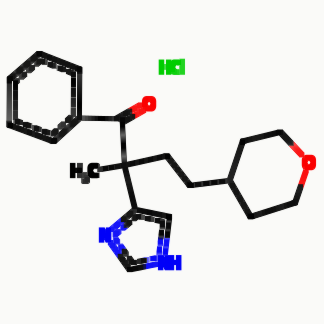 CC(CCC1CCOCC1)(C(=O)c1ccccc1)c1c[nH]cn1.Cl